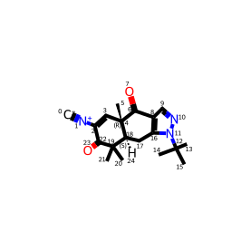 [C-]#[N+]C1=C[C@]2(C)C(=O)c3cnn(C(C)(C)C)c3C[C@H]2C(C)(C)C1=O